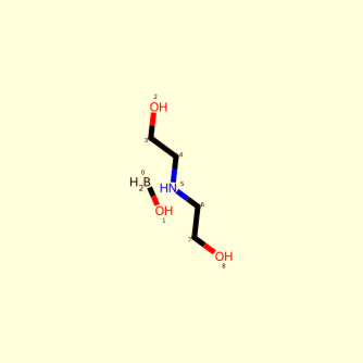 BO.OCCNCCO